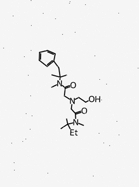 CCC(C)(C)N(C)C(=O)CN(CCO)CC(=O)N(C)C(C)(C)Cc1ccccc1